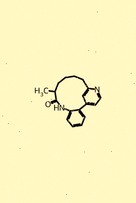 CC1CCCCc2cc(ccn2)-c2ccccc2NC1=O